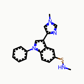 CNSc1ccc2c(c1)c(-c1cn(C)cn1)cn2-c1ccccc1